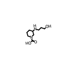 O=C(O)N1CCCC(NCCCO)C1